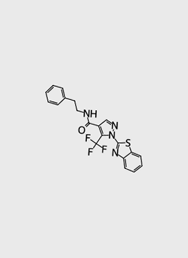 O=C(NCCc1ccccc1)c1cnn(-c2nc3ccccc3s2)c1C(F)(F)F